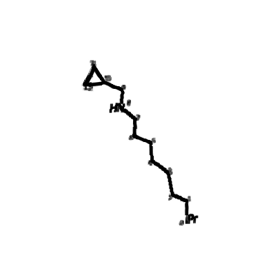 CC(C)CCCCCCCNCC1CC1